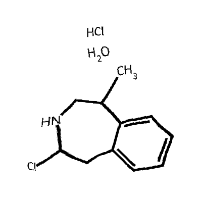 CC1CNC(Cl)Cc2ccccc21.Cl.O